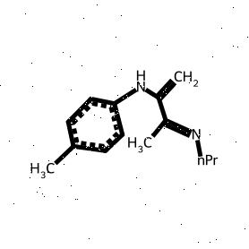 C=C(Nc1ccc(C)cc1)/C(C)=N/CCC